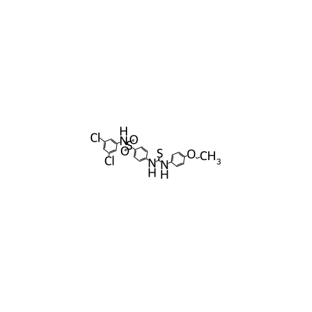 CCOc1ccc(NC(=S)Nc2ccc(S(=O)(=O)Nc3cc(Cl)cc(Cl)c3)cc2)cc1